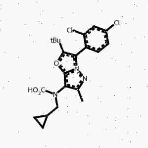 Cc1nn2c(-c3ccc(Cl)cc3Cl)c(C(C)(C)C)oc2c1N(CC1CC1)C(=O)O